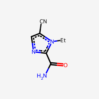 CCn1c(C#N)cnc1C(N)=O